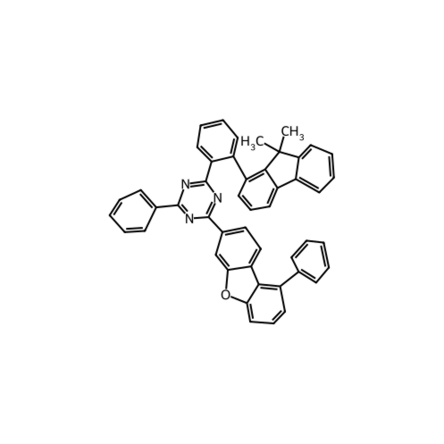 CC1(C)c2ccccc2-c2cccc(-c3ccccc3-c3nc(-c4ccccc4)nc(-c4ccc5c(c4)oc4cccc(-c6ccccc6)c45)n3)c21